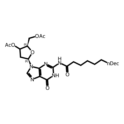 CCCCCCCCCCCCCCCC(=O)Nc1nc2c(ncn2[C@H]2CC(OC(C)=O)[C@@H](COC(C)=O)O2)c(=O)[nH]1